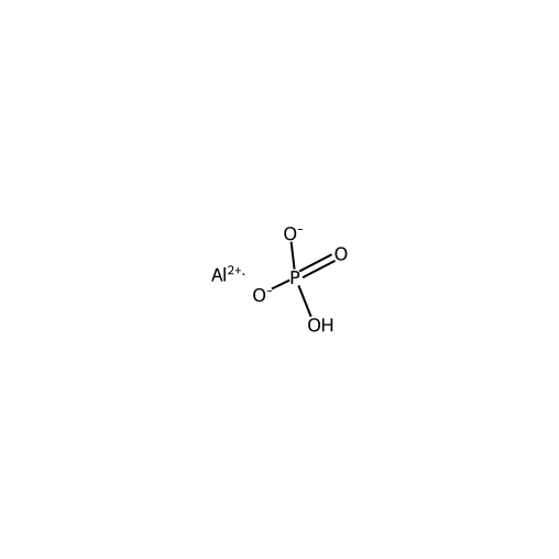 O=P([O-])([O-])O.[Al+2]